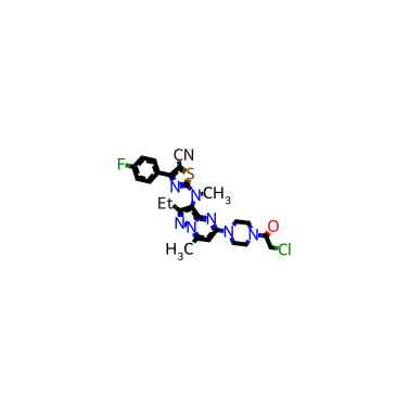 CCc1nn2c(C)cc(N3CCN(C(=O)CCl)CC3)nc2c1N(C)c1nc(-c2ccc(F)cc2)c(C#N)s1